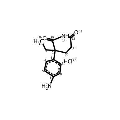 CCC1(c2ccc(N)cc2)CCC(=O)NC1=O.Cl